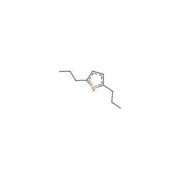 CCCc1ccc(CCC)s1